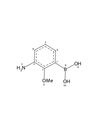 COc1c(N)cccc1B(O)O